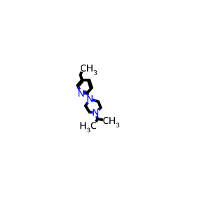 CCc1ccc(N2CCN(C(C)C)CC2)nc1